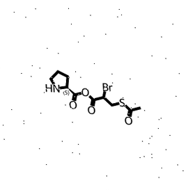 CC(=O)SCC(Br)C(=O)OC(=O)[C@@H]1CCCN1